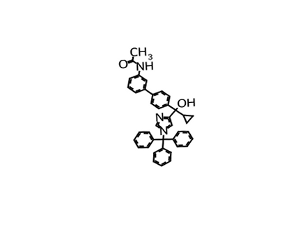 CC(=O)Nc1cccc(-c2ccc(C(O)(c3cn(C(c4ccccc4)(c4ccccc4)c4ccccc4)cn3)C3CC3)cc2)c1